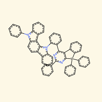 c1ccc(-c2nc(-c3ccccc3-n3c4ccccc4c4ccc5c(c6ccccc6n5-c5ccccc5)c43)c3c(n2)[Si](c2ccccc2)(c2ccccc2)c2ccccc2-3)cc1